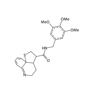 COc1cc(CNC(=O)C2CSC34C=CC=CC3=NCCC24)cc(OC)c1OC